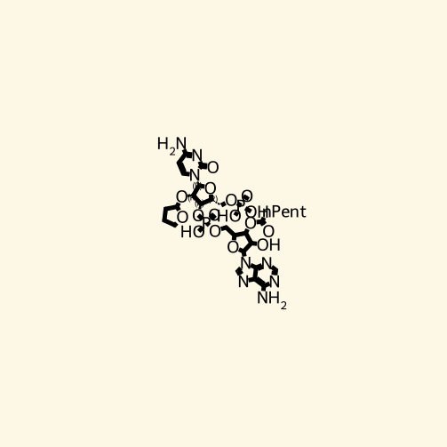 CCCCCC(=O)OC1C(COP(=O)(O)O[C@H]2[C@@H](OC3CCCO3)[C@H](n3ccc(N)nc3=O)O[C@@H]2COP(=O)(O)O)OC(n2cnc3c(N)ncnc32)C1O